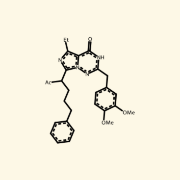 CCc1nc(C(CCCc2ccccc2)C(C)=O)n2nc(Cc3ccc(OC)c(OC)c3)[nH]c(=O)c12